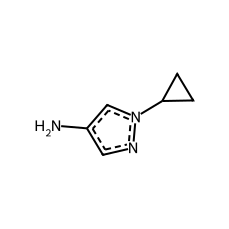 Nc1cnn(C2CC2)c1